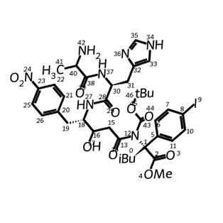 CC[C@H](C)[C@](C(=O)OC)(c1ccc(I)cc1)N(C(=O)CC(O)[C@H](Cc1ccc([N+](=O)[O-])cc1)NC(=O)[C@H](Cc1c[nH]cn1)NC(=O)C(C)N)C(=O)OC(C)(C)C